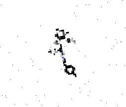 Cc1ccc(C/C=N/N=C(\N)CNC2=C(N)N(C)COC2)cc1